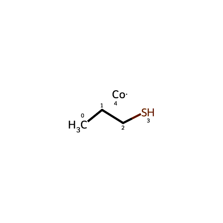 CCCS.[Co]